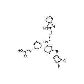 O=C(O)C=Cc1cccc(-c2cnc(Nc3ccc(F)c(Cl)c3)nc2NCCCc2nc3ccccc3[nH]2)c1